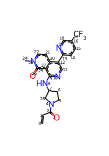 C=CC(=O)N1CCC(Nc2ncc(-c3ccc(C(F)(F)F)cn3)c3ccn(C)c(=O)c23)C1